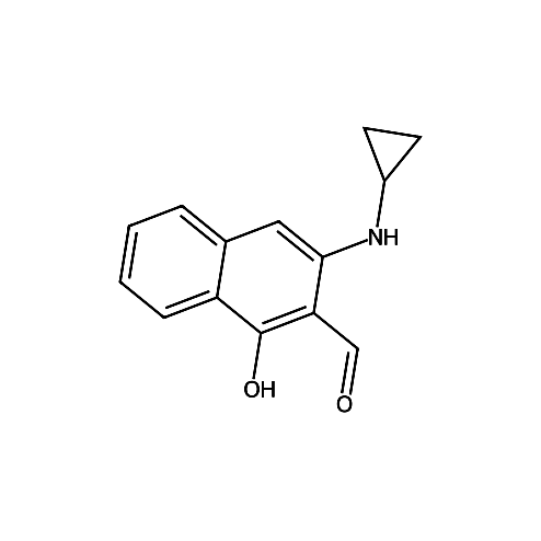 O=Cc1c(NC2CC2)cc2ccccc2c1O